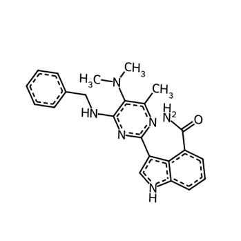 Cc1nc(-c2c[nH]c3cccc(C(N)=O)c23)nc(NCc2ccccc2)c1N(C)C